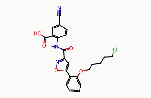 N#Cc1ccc(NC(=O)c2cc(-c3ccccc3OCCCCCCl)on2)c(C(=O)O)c1